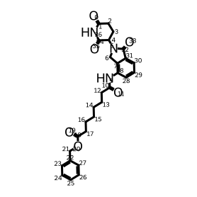 O=C1CCC(N2Cc3c(NC(=O)CCCCCCC(=O)OCc4ccccc4)cccc3C2=O)C(=O)N1